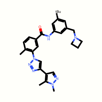 Cc1ccc(C(=O)Nc2cc(CN3CCC3)cc(C(C)(C)C)c2)cc1-n1cc(-c2cnn(C)c2C)nn1